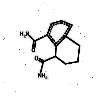 NC(=O)c1cccc2c1C(C(N)=O)CCC2